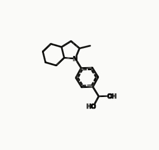 CC1CC2CCCCC2N1c1ccc(C(O)O)cc1